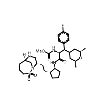 COC(=O)N[C@H](C(=O)N[C@H]1CCC[C@@H]1CC[C@H]1CN[C@@H]2CCCS(=O)(=O)N1C2)C(c1ccc(F)cc1)C1C[C@@H](C)O[C@@H](C)C1